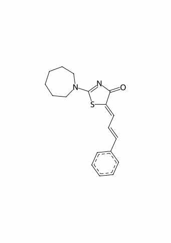 O=C1N=C(N2CCCCCC2)SC1=CC=Cc1ccccc1